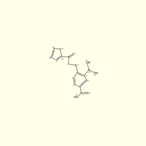 O=C(COc1ccc([N+](=O)O)cc1N(O)O)c1cccs1